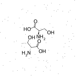 C[C@H](O)[C@@H](N)C(=O)O.N[C@H](CO)C(=O)O